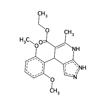 CCOC(=O)C1=C(C)Nc2[nH]ncc2C1c1c(OC)cccc1OC